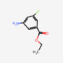 CCOC(=O)c1cc(N)cc(F)c1